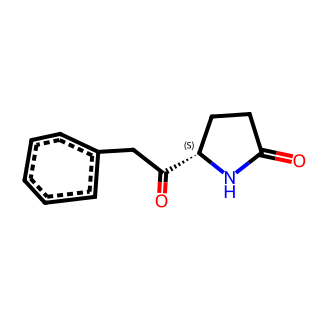 O=C1CC[C@@H](C(=O)Cc2ccccc2)N1